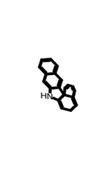 C1=CC2=CCC=C3Nc4cc5ccccc5cc4C23C=C1